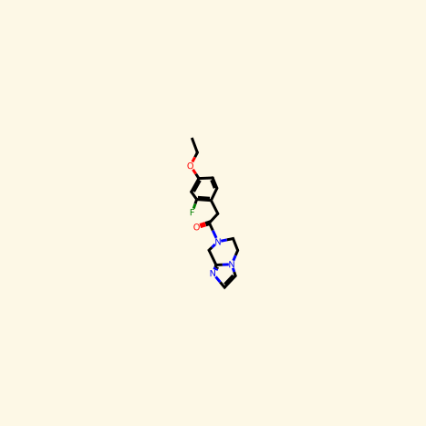 CCOc1ccc(CC(=O)N2CCn3ccnc3C2)c(F)c1